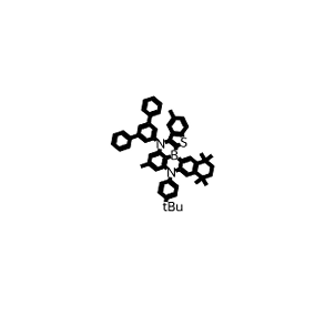 Cc1cc2c3c(c1)N(c1cc(-c4ccccc4)cc(-c4ccccc4)c1)c1c(sc4ccc(C)cc14)B3c1cc3c(cc1N2c1ccc(C(C)(C)C)cc1)C(C)(C)CCC3(C)C